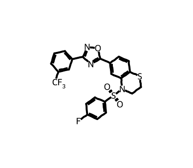 O=S(=O)(c1ccc(F)cc1)N1CCSc2ccc(-c3nc(-c4cccc(C(F)(F)F)c4)no3)cc21